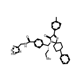 Cc1ccc(C2=NC3(CCC(c4ccccc4)CC3)N([C@H](CCC(C)(C)C)c3ccc(C(=O)NCc4nn[nH]n4)cc3)C2=O)cc1